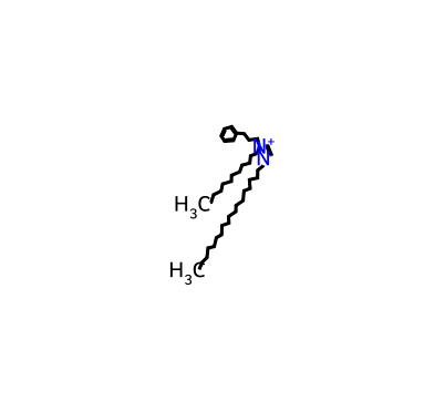 CCCCCCCCCCCCCCCCCCCn1cc[n+](CCCc2ccccc2)c1CCCCCCCCCCC